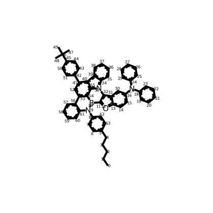 CCCCCc1ccc(N2B3c4oc5ccc(N(c6ccccc6)c6ccccc6)cc5c4-n4c5ccccc5c5c(-c6ccc(C(C)(C)C)cc6)cc(c3c54)-c3ccccc32)cc1